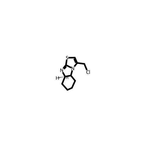 ClCC1=CSC2=N[C@@H]3CCCCC3N12